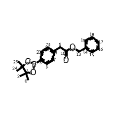 CC1(C)OB(c2ccc(CC(=O)OCc3ccccc3)cc2)OC1(C)C